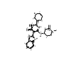 C[C@H]1CC[C@@H](Nc2nc(N3CCCCC3)[nH]c(=O)c2-c2nc3ccccc3s2)CN1